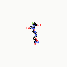 CCc1c(F)ccc2cc(O)cc(-c3ncc4c(N5CCC[C@@](C)(O)C5)nc(OCC5(CN6CCC(CN7CCC(c8cccc9c(C%10CCC(=O)NC%10=O)noc89)CC7)CC6)CC5)nc4c3F)c12